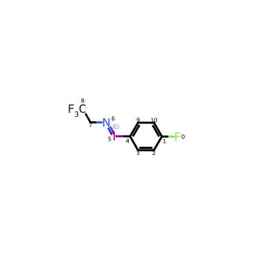 Fc1ccc(/I=N/CC(F)(F)F)cc1